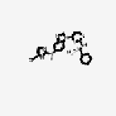 C[C@H](Nc1nccc(-n2cnc3cc(Nc4nccc(Cl)n4)ccc32)n1)c1ccccc1